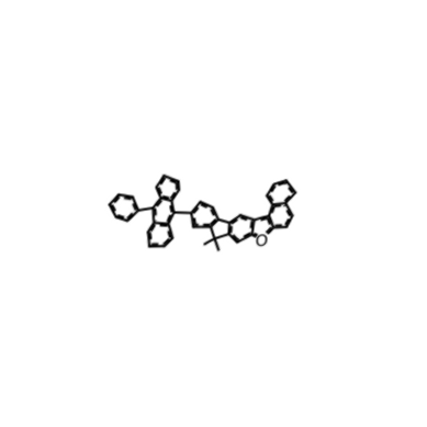 CC1(C)c2cc(-c3c4ccccc4c(-c4ccccc4)c4ccccc34)ccc2-c2cc3c(cc21)oc1ccc2ccccc2c13